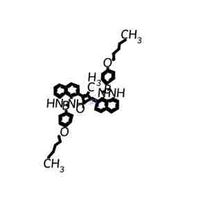 CCCCCCOc1ccc(B2N=c3/c(=C4/C(=O)C(c5ccc6cccc7c6c5NB(c5ccc(OCCCCCC)cc5)N7)=C4C)ccc4cccc(c34)N2)cc1